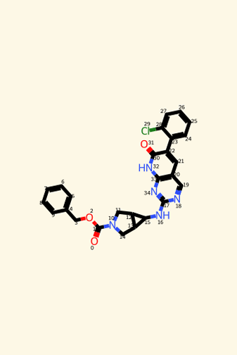 O=C(OCc1ccccc1)N1CC2C(C1)C2Nc1ncc2cc(-c3ccccc3Cl)c(=O)[nH]c2n1